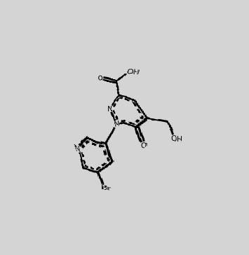 O=C(O)c1cc(CO)c(=O)n(-c2cncc(Br)c2)n1